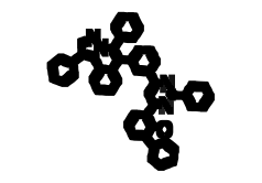 c1ccc(-c2nc(-c3cccc(-c4c(-c5ccccc5)n5ncc(-c6ccccc6)c5c5ccccc45)c3)cc(-c3cccc4c3oc3ccccc34)n2)cc1